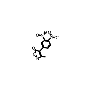 CC1=C(c2ccc([N+](=O)[O-])c([N+](=O)[O-])c2)C(=O)N=N1